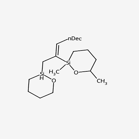 CCCCCCCCCCC=C(C[SiH]1CCCCO1)[Si]1(C)CCCC(C)O1